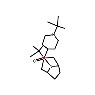 CC(C)(C)N1CCC(C(=O)N2C3CCC2CN(C(C)(C)C)C3)CC1